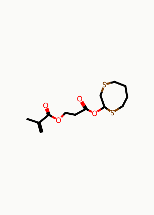 C=C(C)C(=O)OCCC(=O)OC1CSCCCCS1